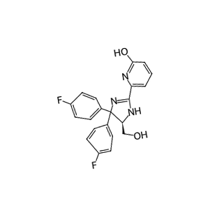 OC[C@@H]1NC(c2cccc(O)n2)=NC1(c1ccc(F)cc1)c1ccc(F)cc1